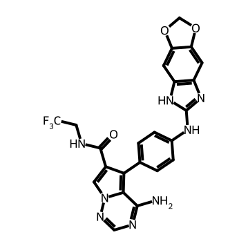 Nc1ncnn2cc(C(=O)NCC(F)(F)F)c(-c3ccc(Nc4nc5cc6c(cc5[nH]4)OCO6)cc3)c12